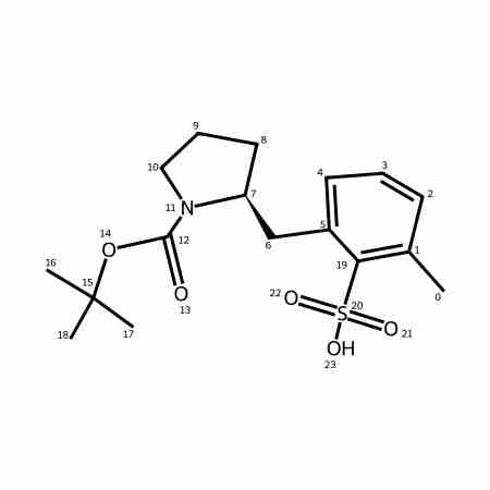 Cc1cccc(C[C@@H]2CCCN2C(=O)OC(C)(C)C)c1S(=O)(=O)O